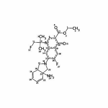 CCOC(=O)c1cn(C(C)(C)CF)c2cc(N3CC4C=CC=CC4(N)C3)c(F)cc2c1=O